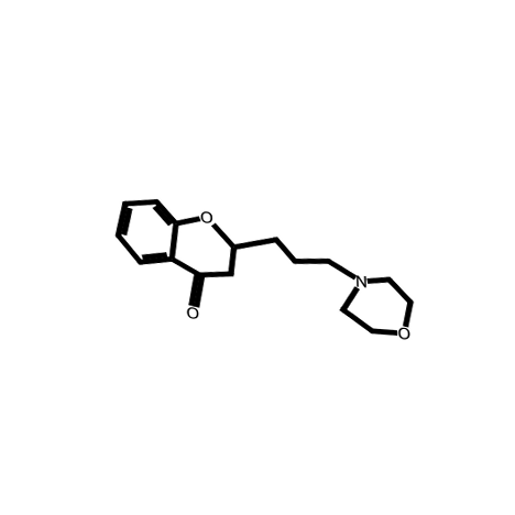 O=C1CC(CCCN2CCOCC2)Oc2ccccc21